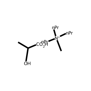 CC(O)C(=O)O.CCC[N+](C)(CCC)CCC